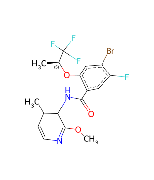 COC1=NC=CC(C)C1NC(=O)c1cc(F)c(Br)cc1O[C@@H](C)C(F)(F)F